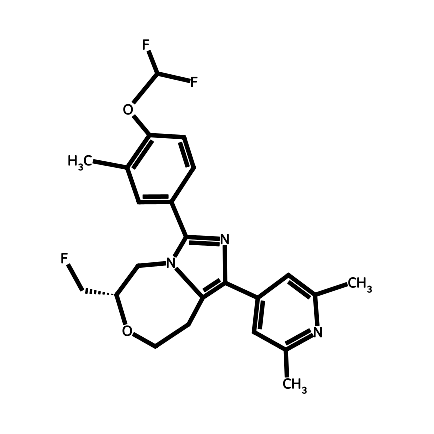 Cc1cc(-c2nc(-c3ccc(OC(F)F)c(C)c3)n3c2CCO[C@H](CF)C3)cc(C)n1